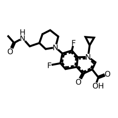 CC(=O)NCC1CCCN(c2c(F)cc3c(=O)c(C(=O)O)cn(C4CC4)c3c2F)C1